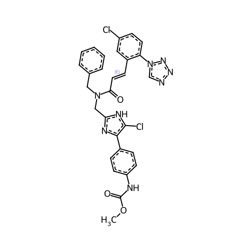 COC(=O)Nc1ccc(-c2nc(CN(Cc3ccccc3)C(=O)/C=C/c3cc(Cl)ccc3-n3cnnn3)[nH]c2Cl)cc1